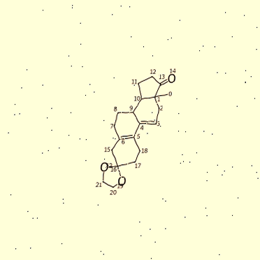 CC12CC=C3C4=C(CCC3C1CCC2=O)CC1(CC4)OCCO1